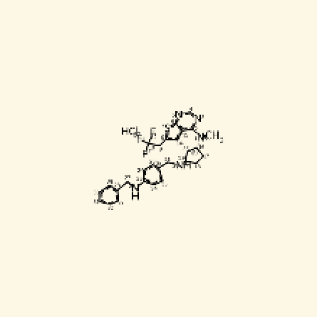 CN(c1ncnc2sc(CC(F)(F)F)cc12)[C@@H]1CC[C@H](NCc2ccc(NCc3ccccc3)cc2)C1.Cl